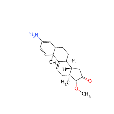 COC1C(=O)C[C@H]2[C@@H]3CCC4C=C(N)C=C[C@]4(C)C3=CC[C@]12C